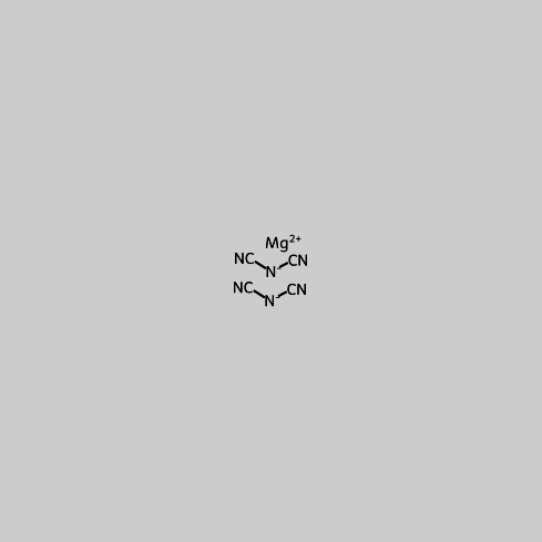 N#C[N-]C#N.N#C[N-]C#N.[Mg+2]